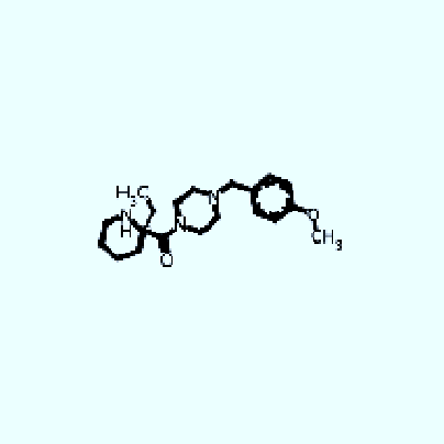 CC[C@@]1(C(=O)N2CCN(Cc3ccc(OC)cc3)CC2)CCCCN1